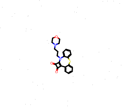 O=c1c(=O)c2c1c1ccccc1sc1ccccc1n2CCCN1CCOCC1